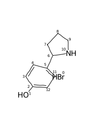 Br.Oc1ccc(C2CCCN2)cc1